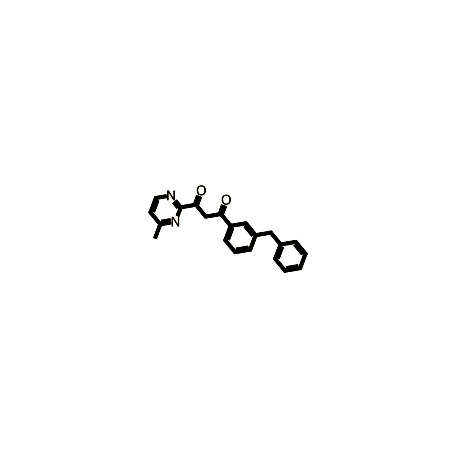 Cc1ccnc(C(=O)CC(=O)c2cccc(Cc3ccccc3)c2)n1